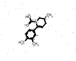 Cc1ccc(C2=CC[C@H](C)CN2C(=O)O)cc1C